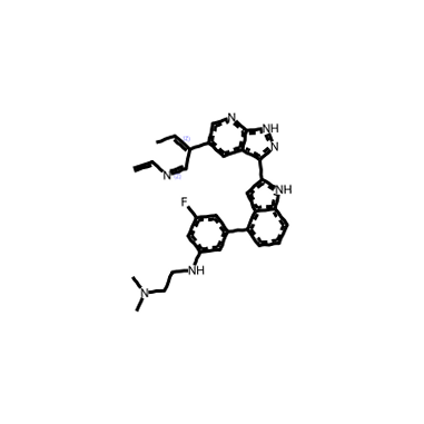 C=C/N=C\C(=C/C)c1cnc2[nH]nc(-c3cc4c(-c5cc(F)cc(NCCN(C)C)c5)cccc4[nH]3)c2c1